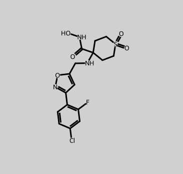 O=C(NO)C1(NCc2cc(-c3ccc(Cl)cc3F)no2)CCS(=O)(=O)CC1